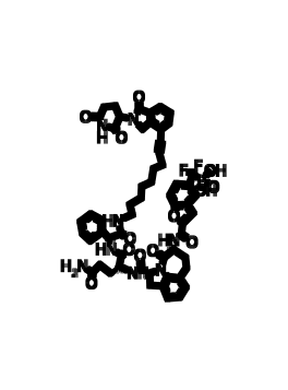 NC(=O)CC[C@H](NC(=O)[C@@H]1Cc2cccc3c2N1C(=O)[C@@H](NC(=O)c1cc2cc(C(F)(F)P(=O)(O)O)ccc2o1)CC3)C(=O)N[C@H](C(=O)NCCCCCCCC#Cc1cccc2c1CN(C1CCC(=O)NC1=O)C2=O)c1ccccc1